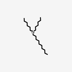 CCCCCCCCCCN(CCCCCC)CCCCCC